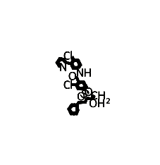 C=C(O)C(CCc1ccccc1)S(=O)(=O)c1ccc(C(=O)Nc2ccc(Cl)c(-c3ccccn3)c2)c(Cl)c1